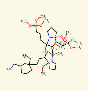 CO[Si](CCCC(CCC[Si](OC)(OC)OC)(CCC(CCC1(CN)CCCC(CN)C1)[Si]1(OC)CCCN1[Si](C)(C)C)N1CCC[Si]1(OC)OC)(OC)OC